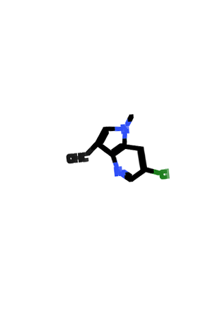 Cn1cc(C=O)c2ncc(Cl)cc21